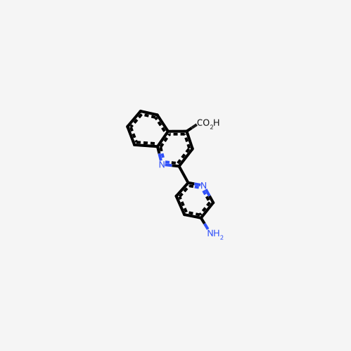 Nc1ccc(-c2cc(C(=O)O)c3ccccc3n2)nc1